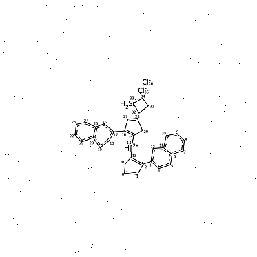 C1=CC(c2ccc3ccccc3c2)=[C]([Hf+2][C]2=C(c3ccc4ccccc4c3)C=CC2)C1.C1C[SiH2]C1.[Cl-].[Cl-]